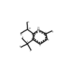 Cc1ccc(C(C)(C)C)c(C(C)C)n1